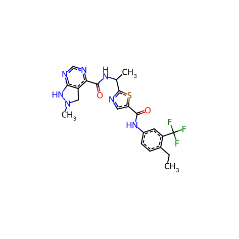 CCc1ccc(NC(=O)c2cnc(C(C)NC(=O)c3ncnc4c3CN(C)N4)s2)cc1C(F)(F)F